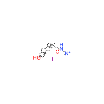 CC(CCC(=O)NCC[N+](C)(C)C)[C@H]1CCC2C3CCC4C[C@H](O)CC[C@]4(C)C3CC[C@@]21C.[I-]